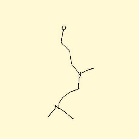 CN(C)CCN(C)CCC[O]